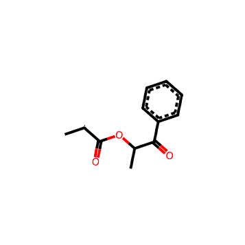 C[CH]C(=O)OC(C)C(=O)c1ccccc1